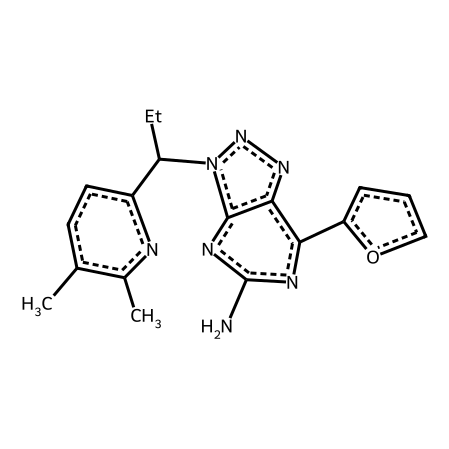 CCC(c1ccc(C)c(C)n1)n1nnc2c(-c3ccco3)nc(N)nc21